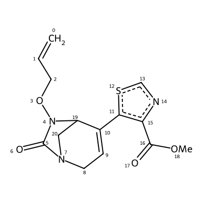 C=CCON1C(=O)N2CC=C(c3scnc3C(=O)OC)C1C2